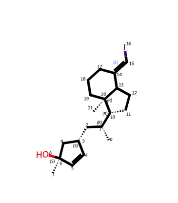 C[C@H](C[C@@H]1C=C[C@@](C)(O)C1)[C@H]1CCC2/C(=C/I)CCC[C@@]21C